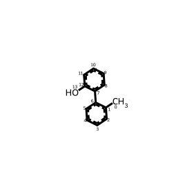 Cc1ccccc1-c1cc[c]cc1O